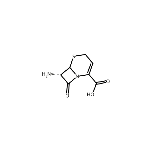 N[C@H]1C(=O)N2C(C(=O)O)=CCSC12